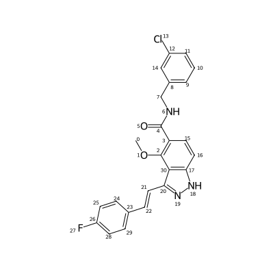 COc1c(C(=O)NCc2cccc(Cl)c2)ccc2[nH]nc(C=Cc3ccc(F)cc3)c12